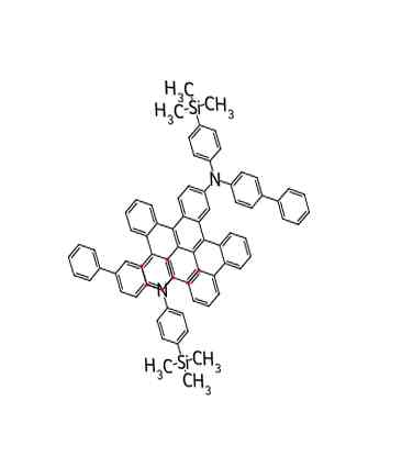 C[Si](C)(C)c1ccc(N(c2ccc(-c3ccccc3)cc2)c2ccc3c(-c4ccccc4-c4ccccc4)c4cc(N(c5ccc(-c6ccccc6)cc5)c5ccc([Si](C)(C)C)cc5)ccc4c(-c4ccccc4-c4ccccc4)c3c2)cc1